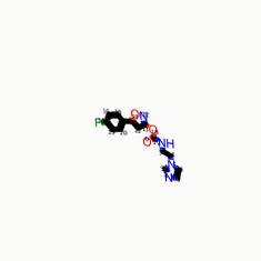 O=C(NCCn1ccnc1)Oc1cc(-c2ccc(F)cc2)on1